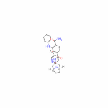 CC(=O)c1ccc(N2[C@@H]3CC[C@H]2C[C@@H](NC(=O)c2ccc(C(N)=O)c(Nc4ccccc4)c2)C3)nc1